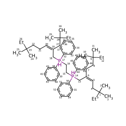 CCC(C)(C)C/C=C(/CCC(C)(C)CC)C[PH](CC[PH](C/C(=C\CCC(C)(C)CC)CC(C)(C)CC)(c1ccccc1)c1ccccc1)(c1ccccc1)c1ccccc1